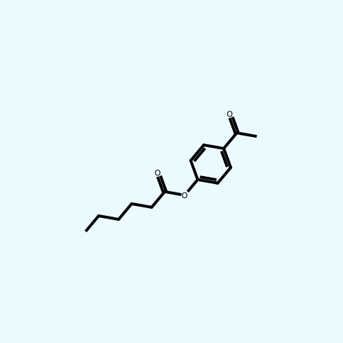 CCCCCC(=O)Oc1ccc(C(C)=O)cc1